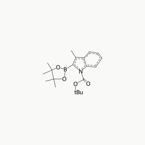 Cc1c(B2OC(C)(C)C(C)(C)O2)n(C(=O)OC(C)(C)C)c2ccccc12